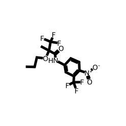 CCCOC(C)(C(=O)Nc1ccc([N+](=O)[O-])c(C(F)(F)F)c1)C(F)(F)F